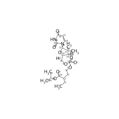 CCC(CCO[P@@]1(=O)OC[C@H]2O[C@@H](n3ccc(=O)[nH]c3=O)C(C)(C)[C@@H]2O1)C(=O)OC(C)C